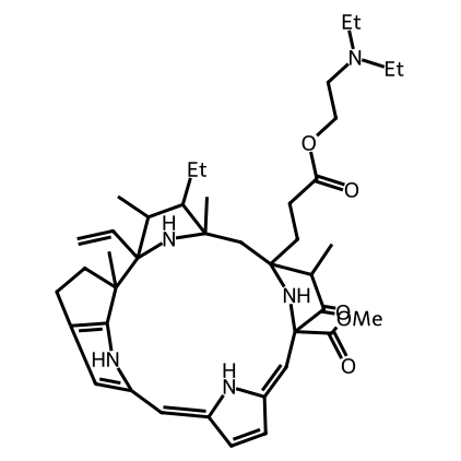 C=CC12NC(C)(CC3(CCC(=O)OCCN(CC)CC)NC(C(=O)OC)(/C=c4/cc/c([nH]4)=C/c4cc5c([nH]4)C1(C)CC5)C(=O)C3C)C(CC)C2C